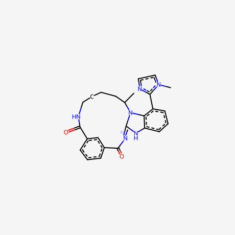 CC1CCCCNC(=O)c2cccc(c2)C(=O)/N=C2\Nc3cccc(-c4nccn4C)c3N21